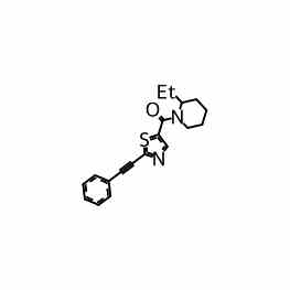 CCC1CCCCN1C(=O)c1cnc(C#Cc2ccccc2)s1